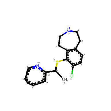 CC(Sc1c(Cl)ccc2c1CCNCC2)c1ccccn1